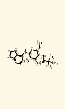 CC(C)(N)C(=O)N[C@@H]1[C@@H](O)[C@H](O)[C@@H](Nc2ncnc3nc[nH]c23)O[C@H]1CO